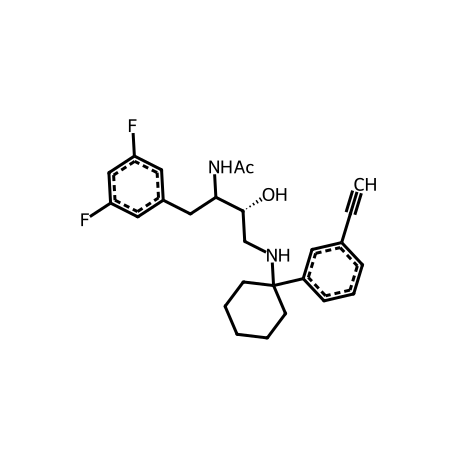 C#Cc1cccc(C2(NC[C@@H](O)C(Cc3cc(F)cc(F)c3)NC(C)=O)CCCCC2)c1